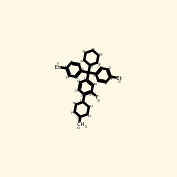 CCc1ccc(C(c2ccc(CC)cc2)(c2ccc(C3CCC(C)CC3)c(F)c2)C2CCCCC2)cc1